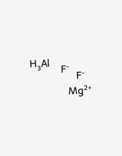 [AlH3].[F-].[F-].[Mg+2]